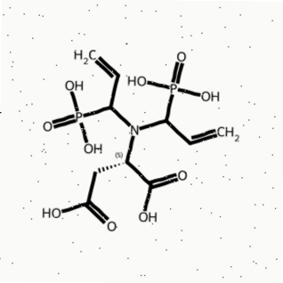 C=CC(N(C(C=C)P(=O)(O)O)[C@@H](CC(=O)O)C(=O)O)P(=O)(O)O